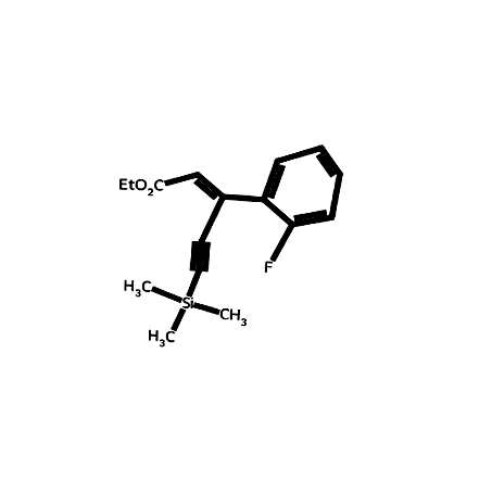 CCOC(=O)C=C(C#C[Si](C)(C)C)c1ccccc1F